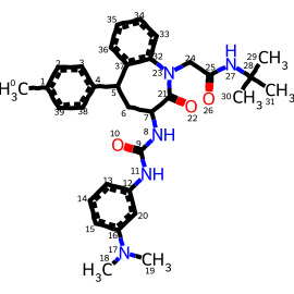 Cc1ccc(C2CC(NC(=O)Nc3cccc(N(C)C)c3)C(=O)N(CC(=O)NC(C)(C)C)c3ccccc32)cc1